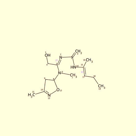 C=C(/N=C(/CO)N(C)C1CC(C)=NO1)N/C(C)=C/CC